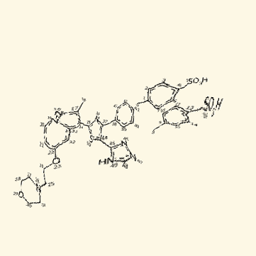 Cc1ccc(S(=O)(=O)O)cc1.Cc1ccc(S(=O)(=O)O)cc1.Cc1nn2ccc(OCCN3CCOCC3)cc2c1-c1nc(-c2ccccc2)c(-c2nnc[nH]2)s1